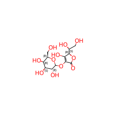 O=C1O[C@H]([C@@H](O)CO)C(O)=C1OC1O[C@H](CO)[C@H](O)[C@H](O)[C@H]1O